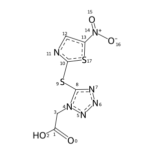 O=C(O)Cn1nnnc1Sc1ncc([N+](=O)[O-])s1